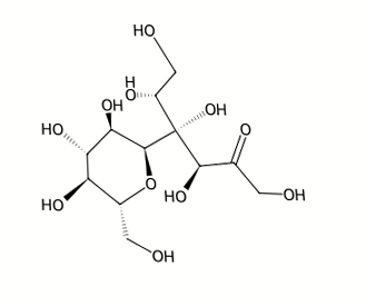 O=C(CO)[C@@H](O)[C@](O)([C@H](O)CO)[C@H]1O[C@H](CO)[C@@H](O)[C@H](O)[C@H]1O